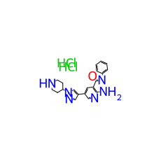 Cl.Cl.Nc1ncc(-c2cnn(C3CCNCC3)c2)cc1-c1nc2ccccc2o1